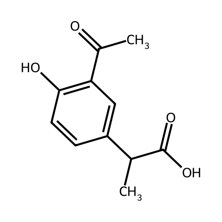 CC(=O)c1cc(C(C)C(=O)O)ccc1O